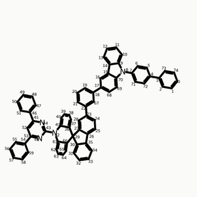 c1ccc(-c2ccc(-n3c4ccccc4c4cc(-c5cccc(-c6ccc7c(c6)C6(c8ccccc8-7)c7ccccc7N(c7nc(-c8ccccc8)cc(-c8ccccc8)n7)c7ccccc76)c5)ccc43)cc2)cc1